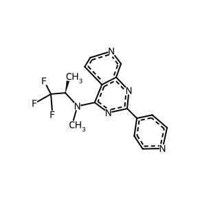 C[C@@H](N(C)c1nc(-c2ccncc2)nc2cnccc12)C(F)(F)F